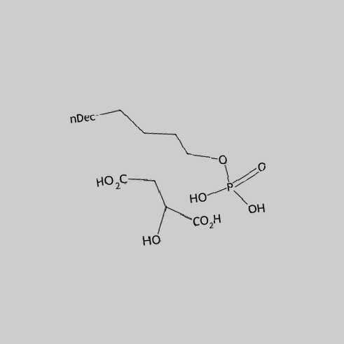 CCCCCCCCCCCCCCOP(=O)(O)O.O=C(O)CC(O)C(=O)O